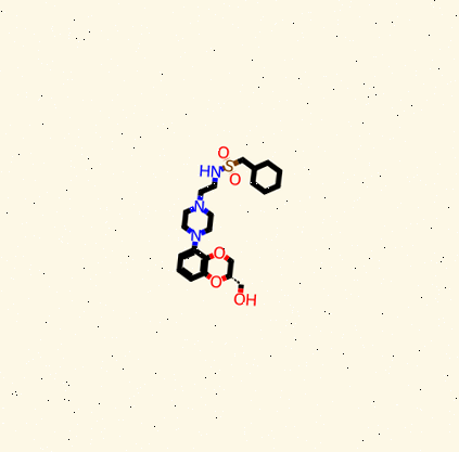 O=S(=O)(CC1CCCCC1)NCCN1CCN(c2cccc3c2OC[C@H](CO)O3)CC1